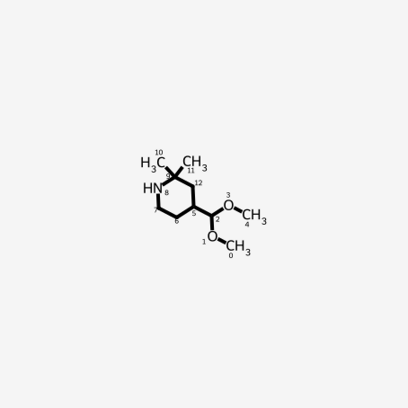 COC(OC)C1CCNC(C)(C)C1